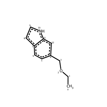 CCOCc1ccc2cc[nH]c2c1